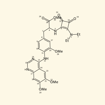 CCN(CC)c1c(NC(Cc2ccc(Nc3ncnc4cc(OC)c(OC)cc34)c(OC)c2)C(=O)OC)c(=O)c1=O